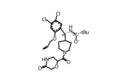 C=CCOc1cc(Cl)c(Cl)cc1[C@H](N[S@@+]([O-])C(C)(C)C)C1CCN(C(=O)C2CNC(=O)CO2)CC1